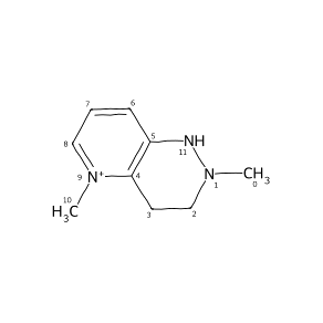 CN1CCc2c(ccc[n+]2C)N1